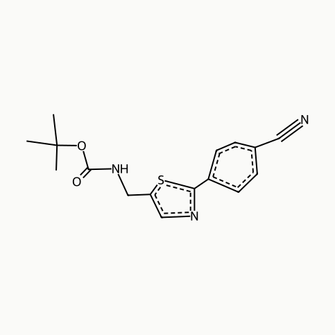 CC(C)(C)OC(=O)NCc1cnc(-c2ccc(C#N)cc2)s1